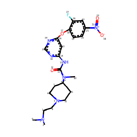 CN(C)CCN1CCC(N(C)C(=O)Nc2cc(Oc3ccc([N+](=O)[O-])cc3F)ncn2)CC1